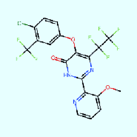 COc1cccnc1-c1nc(C(F)(F)C(F)(F)F)c(Oc2ccc(Cl)c(C(F)(F)F)c2)c(=O)[nH]1